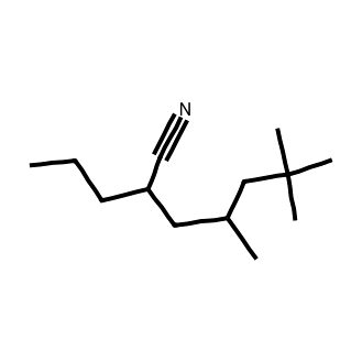 CCCC(C#N)CC(C)CC(C)(C)C